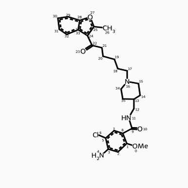 COc1cc(N)c(Cl)cc1C(=O)NCC1CCN(CCCCCC(=O)c2c(C)oc3ccccc23)CC1